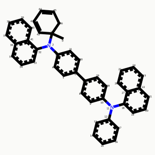 CC1(N(c2ccc(-c3ccc(N(c4ccccc4)c4cccc5ccccc45)cc3)cc2)c2cccc3ccccc23)C=CC=CC1